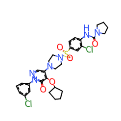 O=C(Nc1ccc(S(=O)(=O)N2CCN(c3cnn(-c4cccc(Cl)c4)c(=O)c3OC3CCCC3)CC2)cc1Cl)N1CCCC1